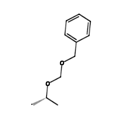 [CH2][C@@H](C)OCOCc1ccccc1